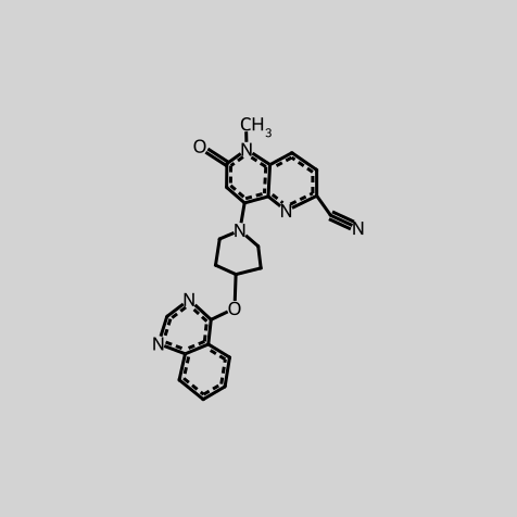 Cn1c(=O)cc(N2CCC(Oc3ncnc4ccccc34)CC2)c2nc(C#N)ccc21